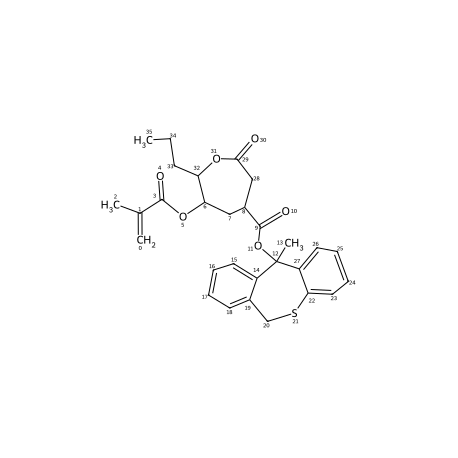 C=C(C)C(=O)OC1CC(C(=O)OC2(C)c3ccccc3CSc3ccccc32)CC(=O)OC1CCC